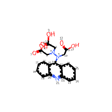 O=C(O)CN(CC(=O)O)N(CC(=O)O)c1c2ccccc2nc2ccccc12